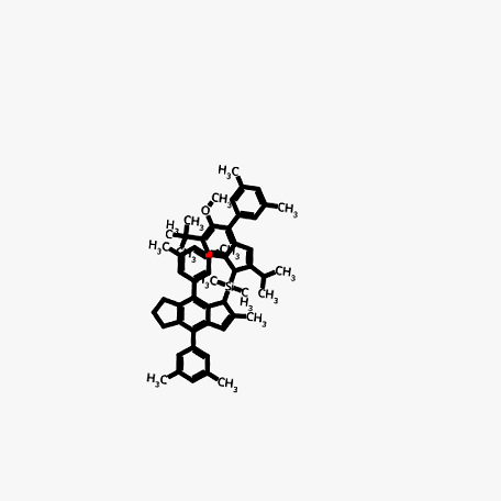 COc1c(C(C)(C)C)cc2c(c1-c1cc(C)cc(C)c1)C=C(C(C)C)C2[Si](C)(C)C1C(C)=Cc2c(-c3cc(C)cc(C)c3)c3c(c(-c4cc(C)cc(C)c4)c21)CCC3